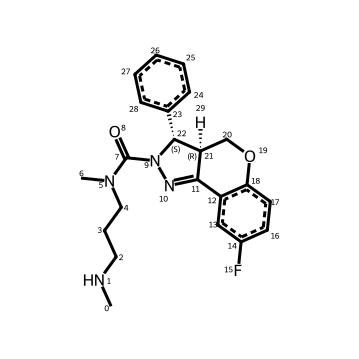 CNCCCN(C)C(=O)N1N=C2c3cc(F)ccc3OC[C@@H]2[C@H]1c1ccccc1